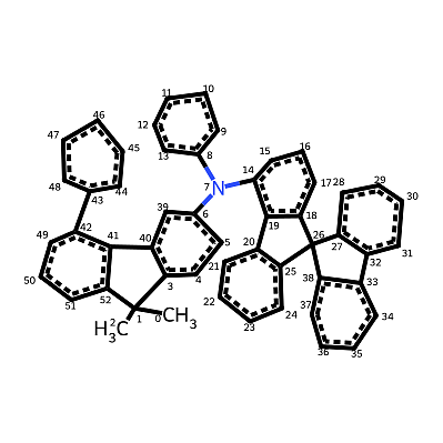 CC1(C)c2ccc(N(c3ccccc3)c3cccc4c3-c3ccccc3C43c4ccccc4-c4ccccc43)cc2-c2c(-c3ccccc3)cccc21